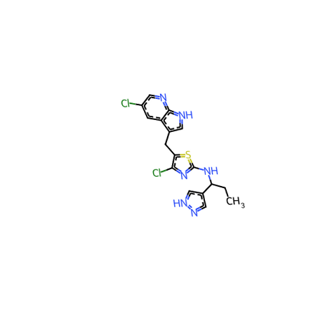 CCC(Nc1nc(Cl)c(Cc2c[nH]c3ncc(Cl)cc23)s1)c1cn[nH]c1